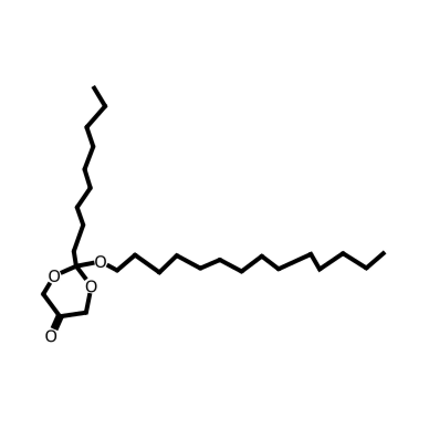 CCCCCCCCCCCCCCOC1(CCCCCCCCC)OCC(=O)CO1